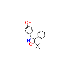 CC1(c2onc(-c3ccc(O)cc3)c2-c2ccccc2)CC1